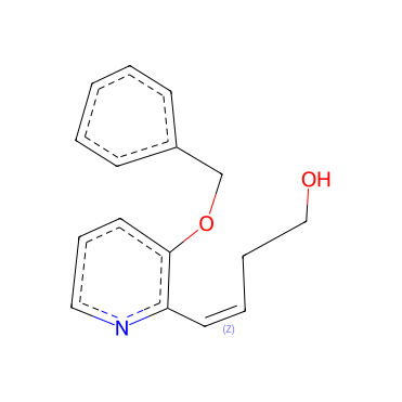 OCC/C=C\c1ncccc1OCc1ccccc1